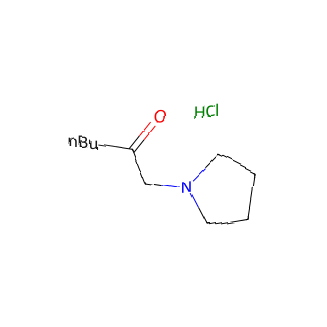 CCCCC(=O)CN1CCCC1.Cl